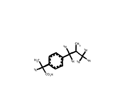 [2H]C(C)(C(=O)O)c1ccc(C([2H])([2H])C(C)C([2H])([2H])[2H])cc1